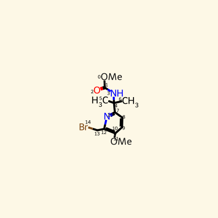 COC(=O)NC(C)(C)c1ccc(OC)c(CBr)n1